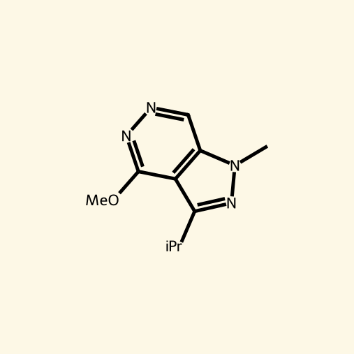 COc1nncc2c1c(C(C)C)nn2C